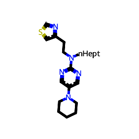 CCCCCCCN(CCc1cs[c]n1)c1ncc(N2CCCCC2)cn1